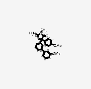 COc1ccc(C2(c3cccc(-c4cccc(OC)c4)c3)N=C(N)N(C)C2=O)cc1